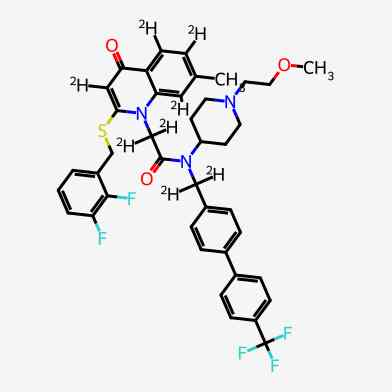 [2H]c1c(C)c([2H])c2c(c1[2H])c(=O)c([2H])c(SCc1cccc(F)c1F)n2C([2H])([2H])C(=O)N(C1CCN(CCOC)CC1)C([2H])([2H])c1ccc(-c2ccc(C(F)(F)F)cc2)cc1